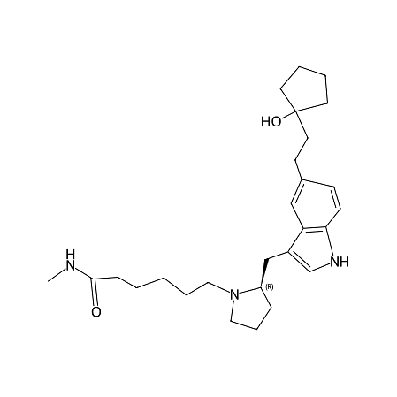 CNC(=O)CCCCCN1CCC[C@@H]1Cc1c[nH]c2ccc(CCC3(O)CCCC3)cc12